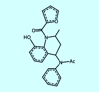 CC(=O)N(c1ccccc1)C1CC(C)N(C(=O)c2ccco2)c2c(O)cccc21